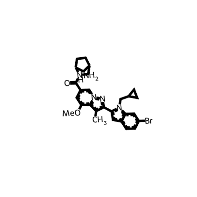 COc1cc(C(=O)N2CC3CCC2[C@@H]3N)cn2nc(-c3cc4ccc(Br)cc4n3CC3CC3)c(C)c12